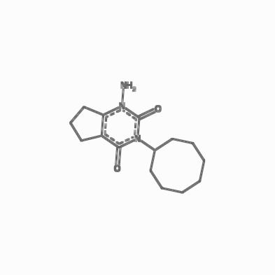 Nn1c2c(c(=O)n(C3CCCCCCC3)c1=O)CCC2